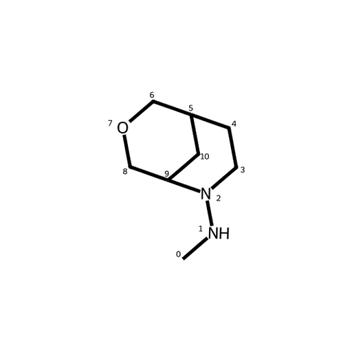 CNN1CCC2COCC1C2